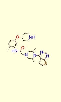 Cc1ccc(OC2CCNCC2)cc1NC(=O)CN1CC(C)N(c2ncnc3sccc23)C(C)C1